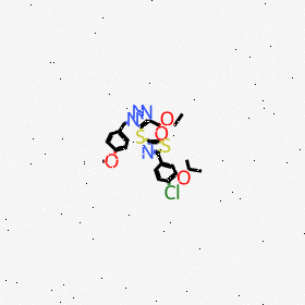 CCOC(=O)c1nnn(Cc2ccc(OC)cc2)c1Sc1csc(-c2ccc(Cl)c(OC(C)C)c2)n1